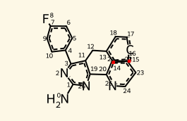 Nc1nc(-c2ccc(F)cc2)c(Cc2ccccc2)c(-c2ccccn2)n1